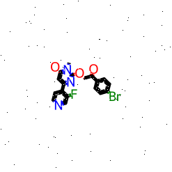 Cn1c(OCC(=O)c2ccc(Br)cc2)nc(-c2ccncc2F)cc1=O